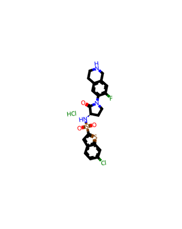 Cl.O=C1[C@@H](NS(=O)(=O)c2cc3ccc(Cl)cc3s2)CCN1c1cc2c(cc1F)CNCC2